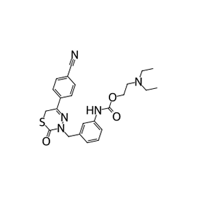 CCN(CC)CCOC(=O)Nc1cccc(CN2N=C(c3ccc(C#N)cc3)CSC2=O)c1